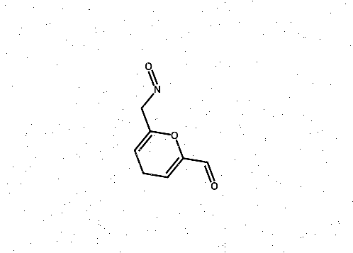 O=CC1=CCC=C(CN=O)O1